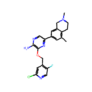 Cc1cc(-c2cnc(N)c(OCc3cc(Cl)ncc3F)n2)cc2c1CCN(C)C2